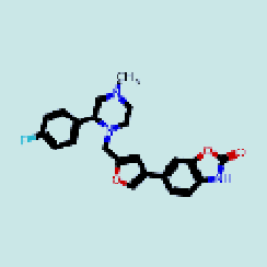 CN1CCN(Cc2cc(-c3ccc4[nH]c(=O)oc4c3)co2)C(c2ccc(F)cc2)C1